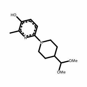 COC(OC)C1CCN(c2ccc(O)c(C)n2)CC1